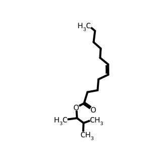 CCCCC/C=C\CCCC(=O)OC(C)C(C)C